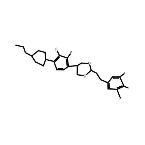 CCCC1CCC(c2ccc(C3COC(CCc4cc(F)c(F)c(F)c4)OC3)c(F)c2F)CC1